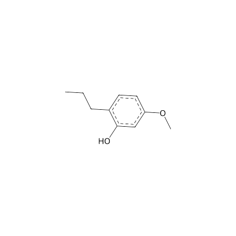 CCCc1ccc(OC)cc1O